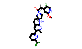 COc1cc([C@@H](C)C(=O)N2CC[C@@]3(CCc4cc(-c5cccc(C(F)F)n5)c(C)nc4N3)C2)c(F)cn1